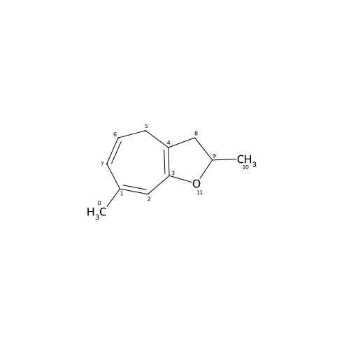 CC1=CC2=C(CC=C1)CC(C)O2